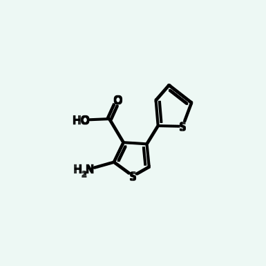 Nc1scc(-c2cccs2)c1C(=O)O